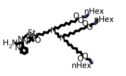 CCCCCC/C=C\COC(=O)CCCCCCCCN(CCCCCCCCC(=O)OC/C=C\CCCCCC)CCCN(CCCCCCCCC(=O)OC/C=C\CCCCCC)CCCCCC(=O)OC(C)(C)Cn1c(CNCC)nc2c(N)nc3ccccc3c21